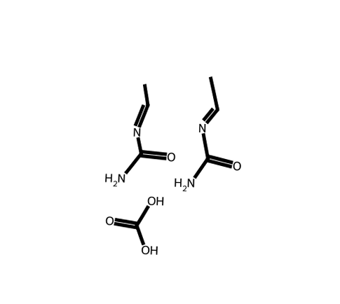 CC=NC(N)=O.CC=NC(N)=O.O=C(O)O